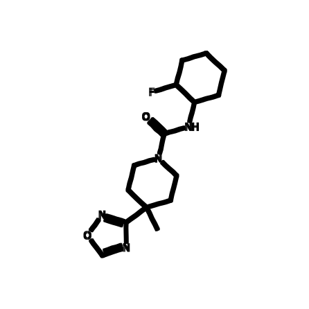 CC1(c2ncon2)CCN(C(=O)NC2CCCCC2F)CC1